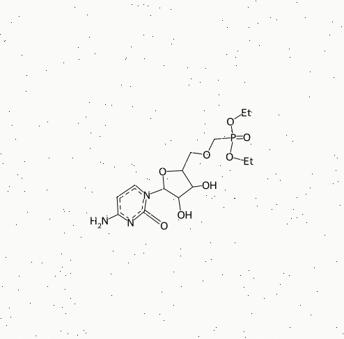 CCOP(=O)(COCC1OC(n2ccc(N)nc2=O)C(O)C1O)OCC